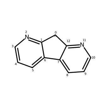 [C]1c2ncccc2-c2cccnc21